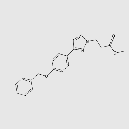 COC(=O)CCn1ccc(-c2ccc(OCc3ccccc3)cc2)n1